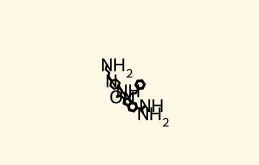 N=C(N)c1ccc2cc(C(=O)NC3CCN(CCCN)CC3)n(CCc3ccccc3)c2c1